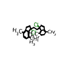 Cc1ccc(C)c2c1C=CC2(Cl)CCC1(Cl)C=Cc2c(C)ccc(C)c21.[Hf]